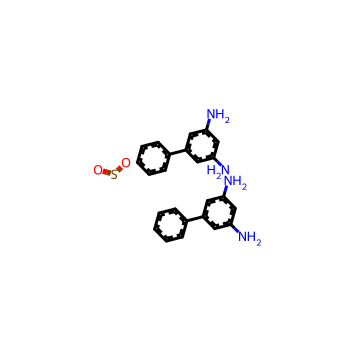 Nc1cc(N)cc(-c2ccccc2)c1.Nc1cc(N)cc(-c2ccccc2)c1.O=S=O